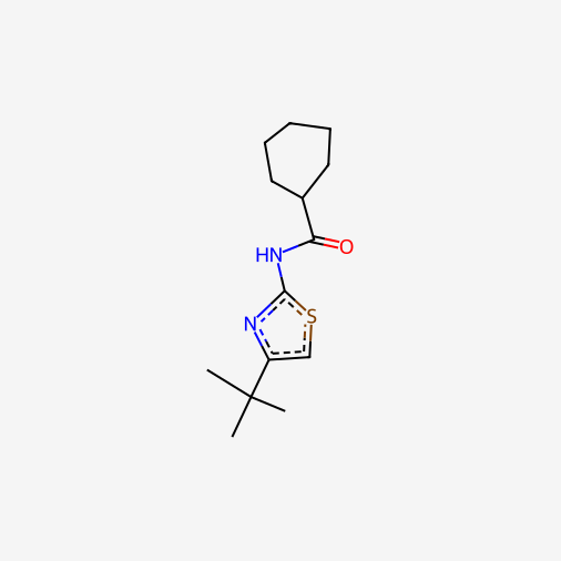 CC(C)(C)c1csc(NC(=O)C2CCCCC2)n1